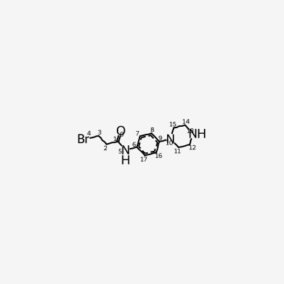 O=C(CCBr)Nc1ccc(N2CCNCC2)cc1